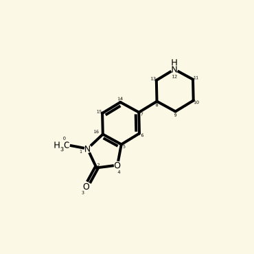 Cn1c(=O)oc2cc(C3CCCNC3)ccc21